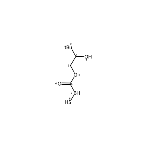 CC(C)(C)C(O)COC(=O)BS